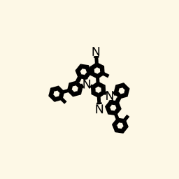 Cc1ccccc1-c1ccc2c(c1)c1ccccc1n2-c1cc(-c2ccc(C#N)cc2C)c(-n2c3ccccc3c3cc(-c4ccccc4C)ccc32)cc1C#N